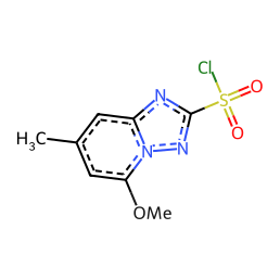 COc1cc(C)cc2nc(S(=O)(=O)Cl)nn12